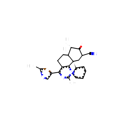 Cc1nc(-c2cnc(C)s2)c2c(n1)[C@@]1(c3ccccc3)CC(C#N)C(=O)[C@@H](C)[C@@H]1CC2